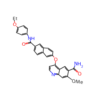 CCOc1ccc(NC(=O)c2ccc3cc(Oc4ccnc5cc(OC)c(C(N)=O)cc45)ccc3c2)cc1